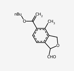 C=C(OCCCC)c1ccc2c(c1C)COC2C=O